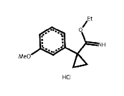 CCOC(=N)C1(c2cccc(OC)c2)CC1.Cl